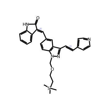 C[Si](C)(C)CCOCn1nc(/C=C/c2ccncc2)c2cc(/C=C3/C(=O)Nc4ccccc43)ccc21